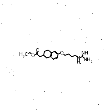 CCOC(=O)CC1CCc2cc(OCCCCNC(=N)N)ccc2C1